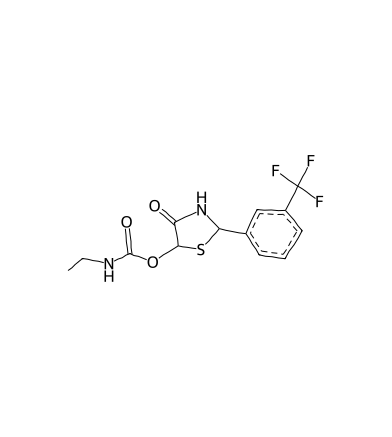 CCNC(=O)OC1SC(c2cccc(C(F)(F)F)c2)NC1=O